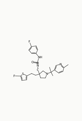 Cc1ccc(C(C)(C)N2CCC(CCc3ccc(F)s3)(CNC(=O)Nc3ccc(F)cc3)C2)cn1